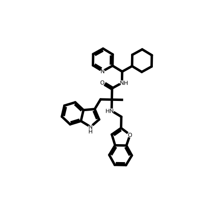 CC(Cc1c[nH]c2ccccc12)(NCc1cc2ccccc2o1)C(=O)NC(c1ccccn1)C1CCCCC1